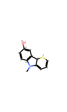 CN1C2=CC=CSC2c2cc(O)ccc21